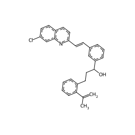 C=C(C)c1ccccc1CCC(O)c1cccc(/C=C/c2ccc3ccc(Cl)cc3n2)c1